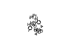 Cc1ccc(NC(=O)Nc2cc([C@@H]3C[C@@H]3C(=O)NS(=O)(=O)C3CC3)ccc2N(CC(C)C)CC(C)C)cc1